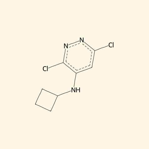 Clc1cc(NC2CCC2)c(Cl)nn1